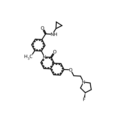 Cc1ccc(C(=O)NC2CC2)cc1-n1ccc2ccc(OCCN3CC[C@@H](F)C3)cc2c1=O